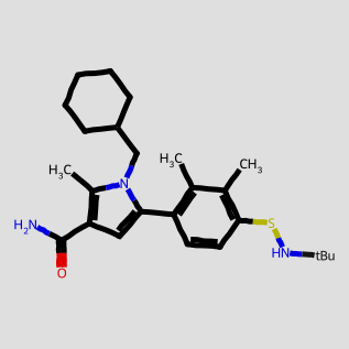 Cc1c(SNC(C)(C)C)ccc(-c2cc(C(N)=O)c(C)n2CC2CCCCC2)c1C